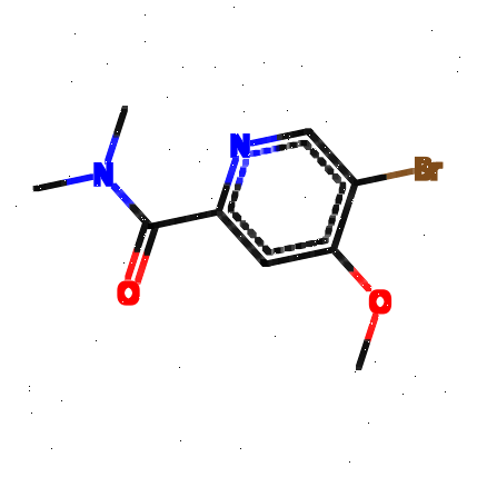 COc1cc(C(=O)N(C)C)ncc1Br